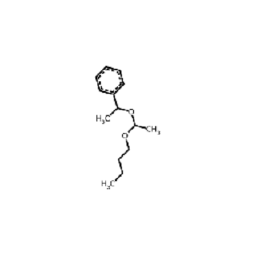 CCCCOC(C)OC(C)c1ccccc1